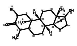 CN1C(=O)C(Br)C[C@@]2(C)C1CC[C@@H]1[C@H]2CC[C@]2(C)C(O)CC[C@@H]12